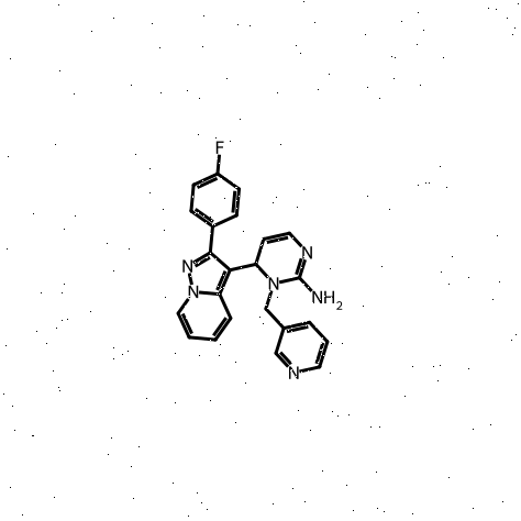 NC1=NC=CC(c2c(-c3ccc(F)cc3)nn3ccccc23)N1Cc1cccnc1